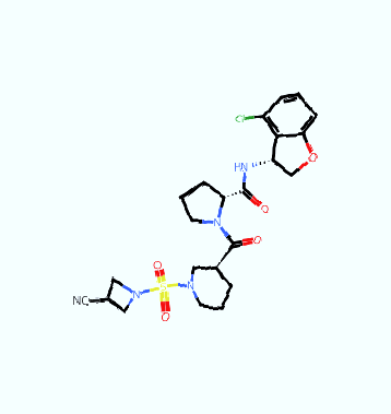 N#CC1CN(S(=O)(=O)N2CCC[C@H](C(=O)N3CCC[C@@H]3C(=O)N[C@H]3COc4cccc(Cl)c43)C2)C1